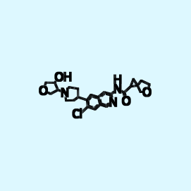 O=C(Nc1cc2cc(C3CCN(C4COCC4O)CC3)c(Cl)cc2cn1)C1CC12CCOC2